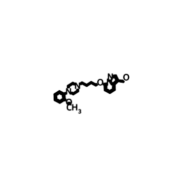 COc1ccccc1N1CCN(CCCCOc2cccc3c(C=O)cnn23)CC1